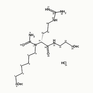 CCCCCCCCCCCCCCCCN(C(N)=O)[C@H](CCCNC(=N)N)C(=O)NCCCCCCCCCCCC.Cl